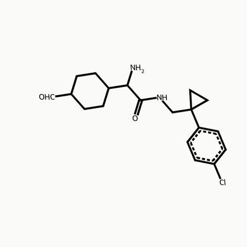 NC(C(=O)NCC1(c2ccc(Cl)cc2)CC1)C1CCC(C=O)CC1